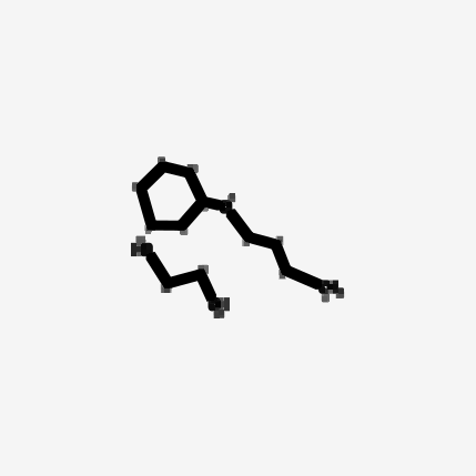 CCCCOC1CCCCC1.OCCO